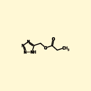 CCC(=O)OCc1nnn[nH]1